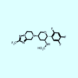 O=C(O)N[C@H]1C[C@@H](N2CCn3nc(C(F)(F)F)nc3C2)CO[C@@H]1c1cc(F)c(F)cc1F